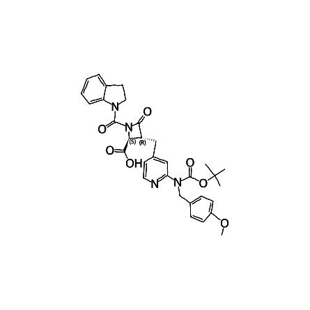 COc1ccc(CN(C(=O)OC(C)(C)C)c2cc(C[C@H]3C(=O)N(C(=O)N4CCc5ccccc54)[C@@H]3C(=O)O)ccn2)cc1